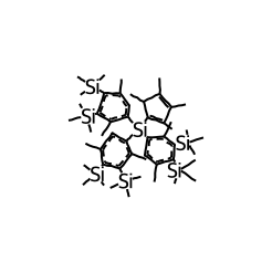 CC1=C(C)C(C)C([Si](c2cc(C)c([Si](C)(C)C)c([Si](C)(C)C)c2C)(c2cc(C)c([Si](C)(C)C)c([Si](C)(C)C)c2C)c2cc(C)c([Si](C)(C)C)c([Si](C)(C)C)c2C)=C1C